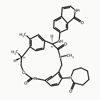 Cc1cc2ccc1[C@@H](C)COC(=O)Nc1ccc(N3CCCCCC3=O)c(c1)CN(C)C(=O)[C@@H]2Nc1ccc2cc[nH]c(=O)c2c1